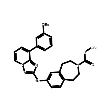 CC(C)COc1cccc(-c2cccn3nc(Nc4ccc5c(c4)CCN(C(=O)OC(C)(C)C)CC5)nc23)c1